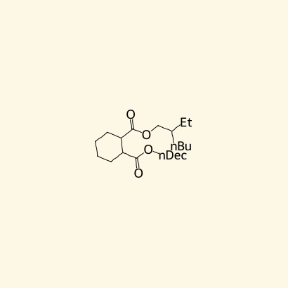 CCCCCCCCCCOC(=O)C1CCCCC1C(=O)OCC(CC)CCCC